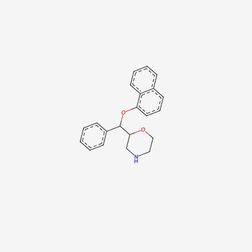 c1ccc(C(Oc2cccc3ccccc23)C2CNCCO2)cc1